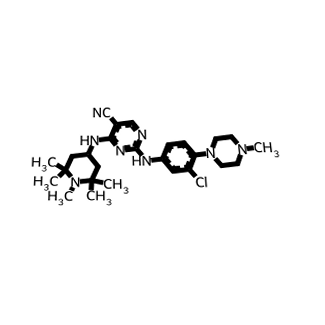 CN1CCN(c2ccc(Nc3ncc(C#N)c(NC4CC(C)(C)N(C)C(C)(C)C4)n3)cc2Cl)CC1